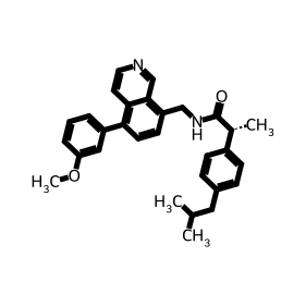 COc1cccc(-c2ccc(CNC(=O)[C@H](C)c3ccc(CC(C)C)cc3)c3cnccc23)c1